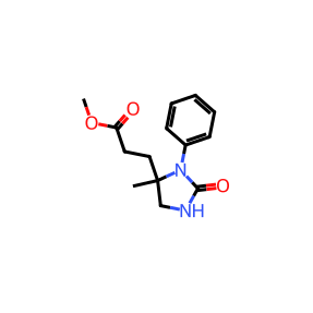 COC(=O)CCC1(C)CNC(=O)N1c1ccccc1